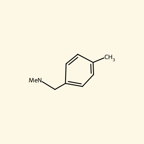 CNCc1ccc(C)cc1